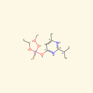 CCOP(=S)(OOC)Oc1cc(C)nc(C(C)C)n1